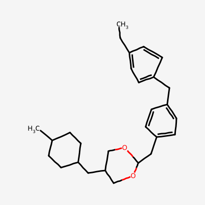 CCc1ccc(Cc2ccc(CC3OCC(CC4CCC(C)CC4)CO3)cc2)cc1